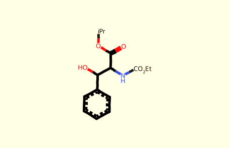 CCOC(=O)NC(C(=O)OC(C)C)C(O)c1ccccc1